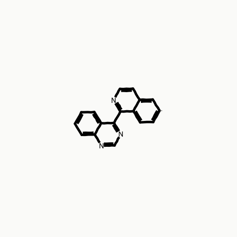 [c]1ccc2c(-c3ncnc4ccccc34)nccc2c1